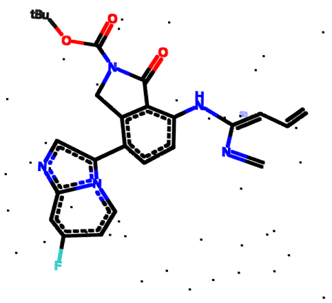 C=C/C=C(\N=C)Nc1ccc(-c2cnc3cc(F)ccn23)c2c1C(=O)N(C(=O)OC(C)(C)C)C2